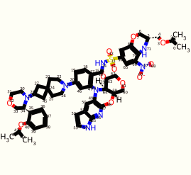 CC(C)OC[C@H]1COc2cc(S(=O)(=O)NC(=O)c3ccc(N4CCC5(CC4)CC(N4CCOC[C@H]4c4ccccc4OC(C)C)C5)cc3N3c4cc5cc[nH]c5nc4O[C@H]4COCC[C@@H]43)cc([N+](=O)[O-])c2N1